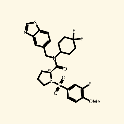 COc1ccc(S(=O)(=O)N2CCC[C@H]2C(=O)N(Cc2ccc3scnc3c2)C2CCC(F)(F)CC2)cc1F